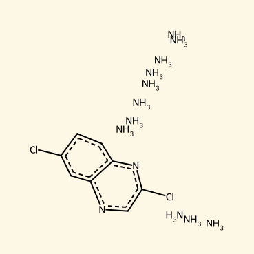 Clc1ccc2nc(Cl)cnc2c1.N.N.N.N.N.N.N.N.N.N.N